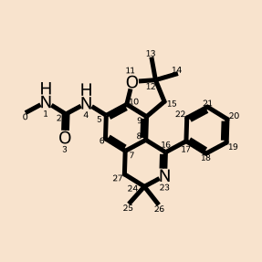 CNC(=O)Nc1cc2c(c3c1OC(C)(C)C3)C(c1ccccc1)=NC(C)(C)C2